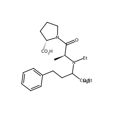 CCOC(=O)C(CCc1ccccc1)N(CC)[C@@H](C)C(=O)N1CCC[C@H]1C(=O)O.Cl